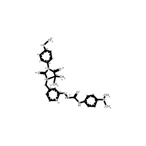 CN(C)c1ccc(NC(=O)NSc2cc(CN3C(=O)N(c4ccc(SC(F)(F)F)cc4)C(=O)C3(C)C)ccn2)cc1